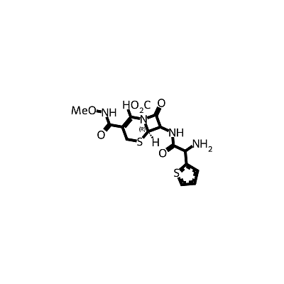 CONC(=O)C1=C(C(=O)O)N2C(=O)C(NC(=O)C(N)c3cccs3)[C@H]2SC1